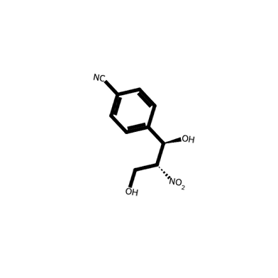 N#Cc1ccc([C@@H](O)[C@@H](CO)[N+](=O)[O-])cc1